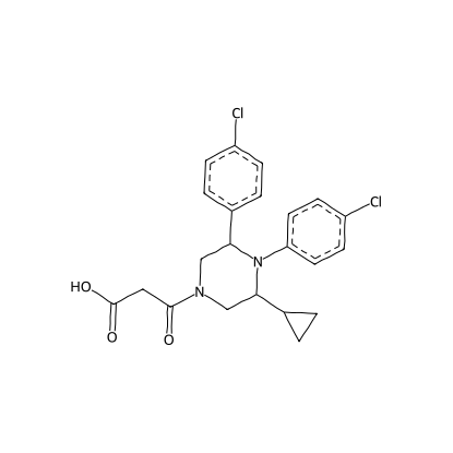 O=C(O)CC(=O)N1CC(c2ccc(Cl)cc2)N(c2ccc(Cl)cc2)C(C2CC2)C1